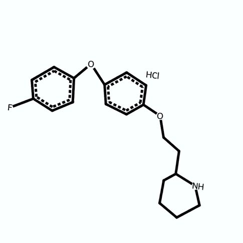 Cl.Fc1ccc(Oc2ccc(OCCC3CCCCN3)cc2)cc1